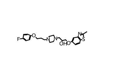 Cc1nc2cc(OCC(O)CN3CCN(CCCOc4ccc(F)cc4)CC3)ccc2s1